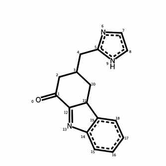 O=C1CC(Cc2ncc[nH]2)CC2C1=Nc1ccccc12